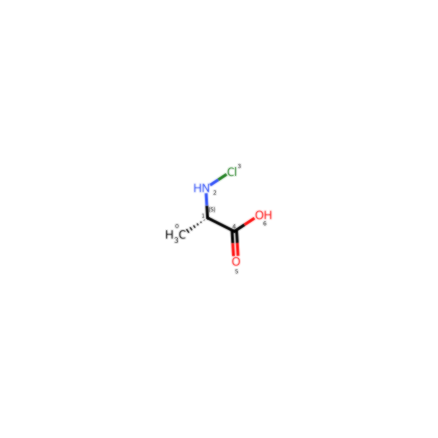 C[C@H](NCl)C(=O)O